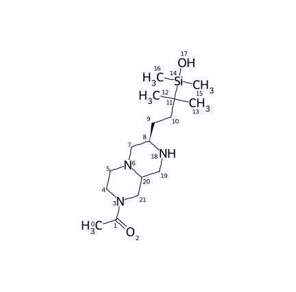 CC(=O)N1CCN2C[C@@H](CCC(C)(C)[Si](C)(C)O)NCC2C1